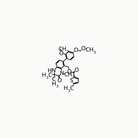 COCOc1ccc(-c2ccc3c(c2COC(=O)c2ccc(C)s2)N(C)C(=O)C(C)(C)N3)c(OC)c1